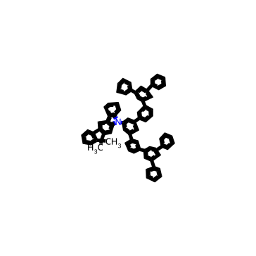 CC1(C)c2ccccc2-c2cc3c4ccccc4n(-c4cc(-c5cccc(-c6cc(-c7ccccc7)cc(-c7ccccc7)c6)c5)cc(-c5cccc(-c6cc(-c7ccccc7)cc(-c7ccccc7)c6)c5)c4)c3cc21